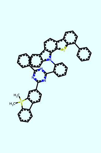 CS1(C)c2ccccc2-c2ccc(-c3nc(-c4ccccc4)nc(-c4ccccc4-n4c5ccccc5c5ccc6c7cccc(-c8ccccc8)c7sc6c54)n3)cc21